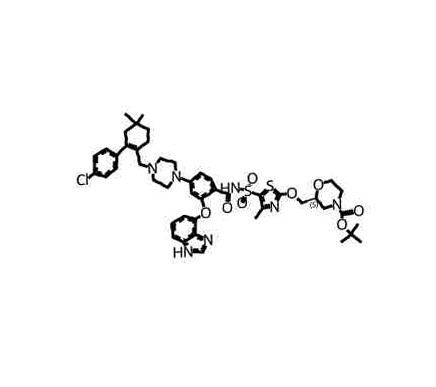 Cc1nc(OC[C@@H]2CN(C(=O)OC(C)(C)C)CCO2)sc1S(=O)(=O)NC(=O)c1ccc(N2CCN(CC3=C(c4ccc(Cl)cc4)CC(C)(C)CC3)CC2)cc1Oc1cccc2[nH]cnc12